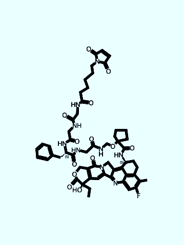 CC[C@@]1(O)C(=O)OCc2c1cc1n(c2=O)Cc2c-1nc1cc(F)c(C)c3c1c2[C@@H](NC(=O)C1(OCNC(=O)CNC(=O)[C@H](Cc2ccccc2)NC(=O)CNC(=O)CNC(=O)CCCCCN2C(=O)C=CC2=O)CCCC1)CC3